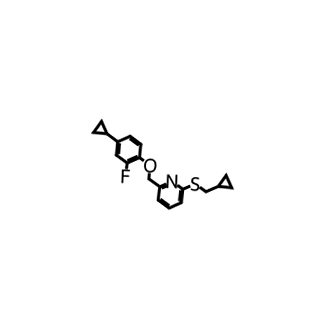 Fc1cc(C2CC2)ccc1OCc1cccc(SCC2CC2)n1